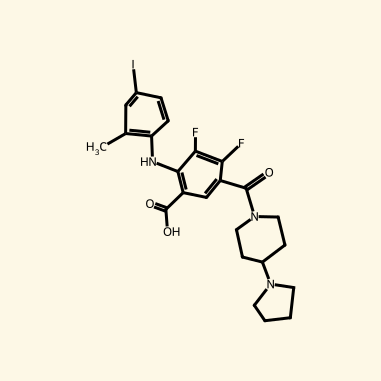 Cc1cc(I)ccc1Nc1c(C(=O)O)cc(C(=O)N2CCC(N3CCCC3)CC2)c(F)c1F